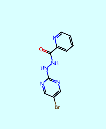 O=C(NNc1ncc(Br)cn1)c1ccccn1